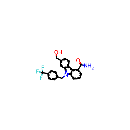 NC(=O)c1cccc2c1c1[c]cc(CO)cc1n2Cc1ccc(C(F)(F)F)cc1